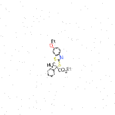 CCOC(=O)C(C)(Sc1nc2ccc(OCC)cc2s1)c1ccccc1